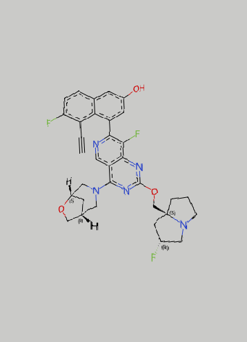 C#Cc1c(F)ccc2cc(O)cc(-c3ncc4c(N5C[C@@H]6CO[C@@H](C6)C5)nc(OC[C@@]56CCCN5C[C@H](F)C6)nc4c3F)c12